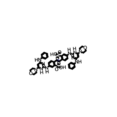 O=S(=O)(O)c1cc(NN2N=C(Nc3ccccc3)C=C(N3CCOCC3)N2)ccc1/C=C/c1ccc(NN2N=C(Nc3ccccc3)C=C(N3CCOCC3)N2)cc1S(=O)(=O)O